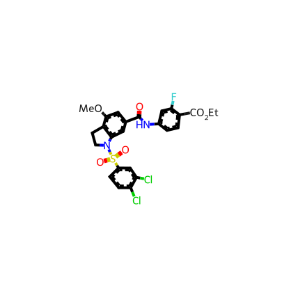 CCOC(=O)c1ccc(NC(=O)c2cc(OC)c3c(c2)N(S(=O)(=O)c2ccc(Cl)c(Cl)c2)CC3)cc1F